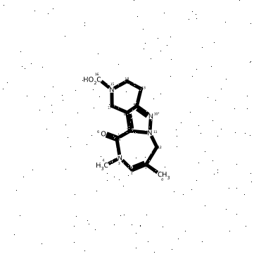 CC1=CN(C)C(=O)c2c3c(nn2C1)CCN(C(=O)O)C3